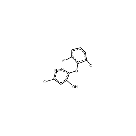 CC(C)c1cccc(Cl)c1Oc1nnc(Cl)cc1O